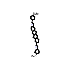 CSc1ccc(/C=C/c2ccc3cc4cc5cc(/C=C/c6ccc(SC)cc6)ccc5cc4cc3c2)cc1